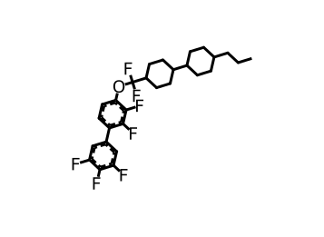 CCCC1CCC(C2CCC(C(F)(F)Oc3ccc(-c4cc(F)c(F)c(F)c4)c(F)c3F)CC2)CC1